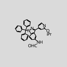 CC(C)Oc1cc(-c2nn(C(c3ccccc3)(c3ccccc3)c3ccccc3)c3ccc(NC=O)cc23)ccn1